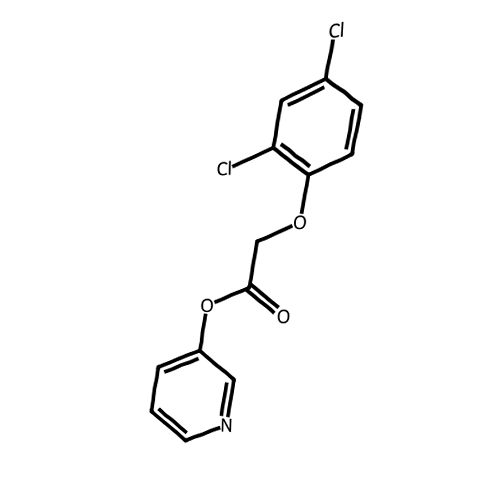 O=C(COc1ccc(Cl)cc1Cl)Oc1cccnc1